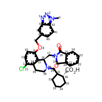 Cn1nnc2cc(COc3ccc(Cl)c4c3[C@@H](CN3Cc5ccccc5C3=O)N(C(=O)C3CCCC[C@H]3C(=O)O)CC4)ccc21